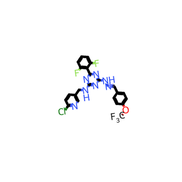 Fc1cccc(F)c1-c1nc(NCc2ccc(Cl)nc2)nc(N/N=C/c2ccc(OC(F)(F)F)cc2)n1